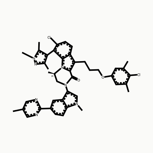 Cc1cnc(-c2ccc3c(c2)c(N2C[C@@H](C)n4c(c(CCCOc5cc(C)c(Cl)c(C)c5)c5ccc(Cl)c(-c6c(C)nn(C)c6C)c54)C2=O)cn3C)nc1